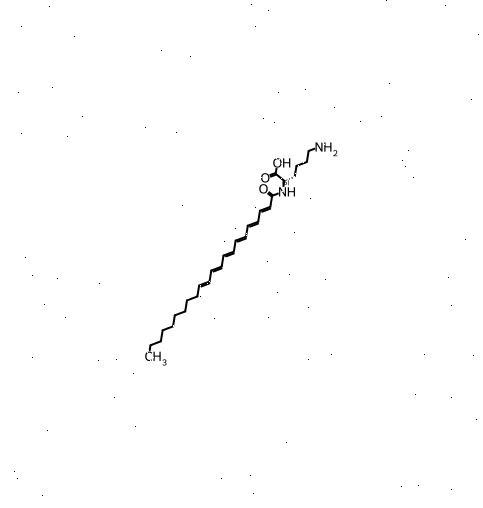 CCCCCCCCCC=CC=CC=CC=CC=CC=CC(=O)N[C@@H](CCCCN)C(=O)O